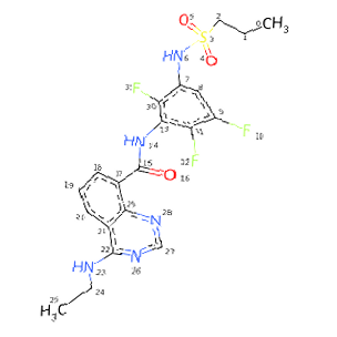 CCCS(=O)(=O)Nc1cc(F)c(F)c(NC(=O)c2cccc3c(NCC)ncnc23)c1F